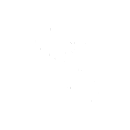 [2H]c1c(C(C)=O)c(NC(=O)c2sccc2S(=O)(=O)Nc2onc(C([2H])([2H])[2H])c2C([2H])([2H])[2H])c(C([2H])([2H])[2H])c([2H])c1C([2H])([2H])[2H]